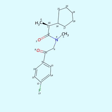 C[C@H](C(=O)N(C)CC(=O)c1ccc(F)cc1)C1CCCCC1